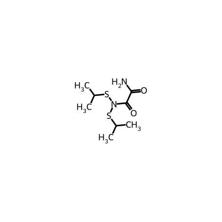 CC(C)SN(SC(C)C)C(=O)C(N)=O